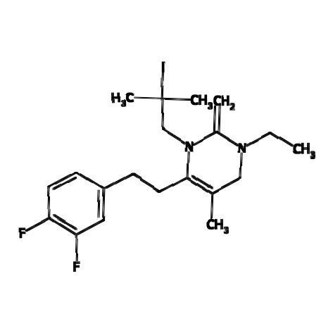 C=C1N(CC)CC(C)=C(CCc2ccc(F)c(F)c2)N1CC(C)(C)I